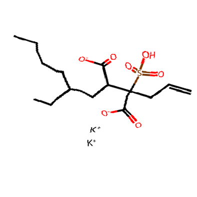 C=CCC(C(=O)[O-])(C(CC(CC)CCCC)C(=O)[O-])S(=O)(=O)O.[K+].[K+]